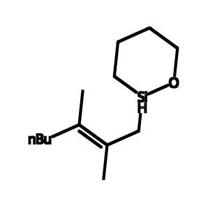 CCCCC(C)=C(C)C[SiH]1CCCCO1